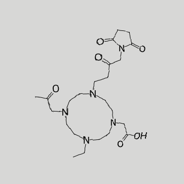 CCN1CCN(CC(C)=O)CCN(CCC(=O)CN2C(=O)CCC2=O)CCN(CC(=O)O)CC1